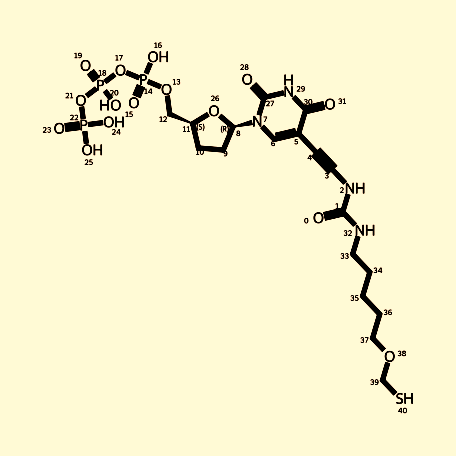 O=C(NC#Cc1cn([C@H]2CC[C@@H](COP(=O)(O)OP(=O)(O)OP(=O)(O)O)O2)c(=O)[nH]c1=O)NCCCCCOCS